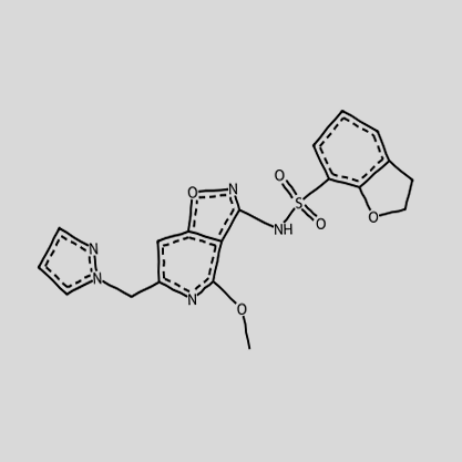 COc1nc(Cn2cccn2)cc2onc(NS(=O)(=O)c3cccc4c3OCC4)c12